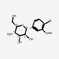 COc1cc([C@H]2O[C@H](CO)[C@@H](O)[C@H](O)[C@@H]2O)ccc1Br